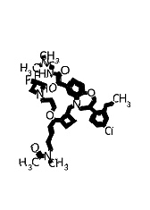 CCCc1cc(Cl)ccc1C1COc2ccc(C(O)C(=O)NSN(C)C)cc2N(CC2CCC2C(/C=C/CCN(C)C(C)=O)OCCCN2CC(F)(F)C2)C1